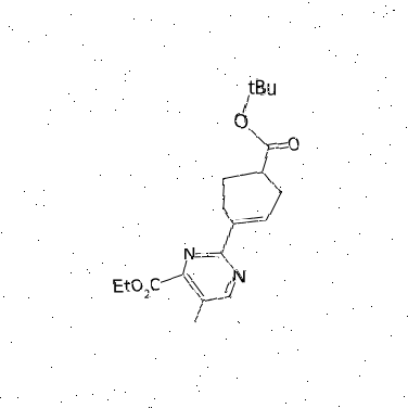 CCOC(=O)c1nc(C2=CCC(C(=O)OC(C)(C)C)CC2)ncc1C